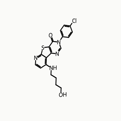 O=c1c2sc3nccc(NCCCCO)c3c2ncn1-c1ccc(Cl)cc1